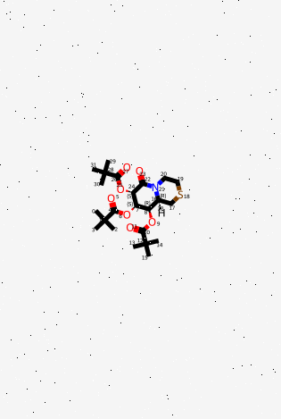 CC(C)(C)C(=O)O[C@H]1[C@H](OC(=O)C(C)(C)C)[C@@H]2CSCCN2C(=O)[C@H]1OC(=O)C(C)(C)C